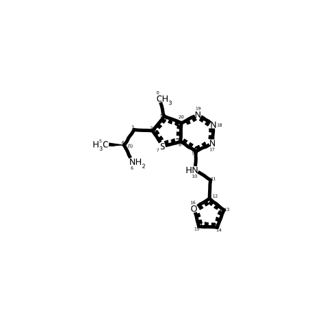 Cc1c(C[C@H](C)N)sc2c(NCc3ccco3)nnnc12